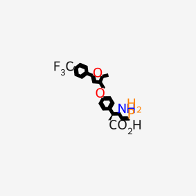 CC1OC(c2ccc(C(F)(F)F)cc2)=CC1COc1ccc([C@H](CC(=O)O)C(=N)/C=C\P)cc1